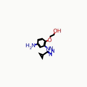 Nc1ccc(OCCO)c(-n2nnnc2C2CC2)c1